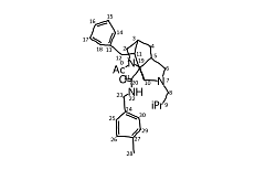 CC(=O)N1CC2CC3CN(CC(C)C)C(C2Cc2ccccc2)C31C(=O)NCc1ccc(C)cc1